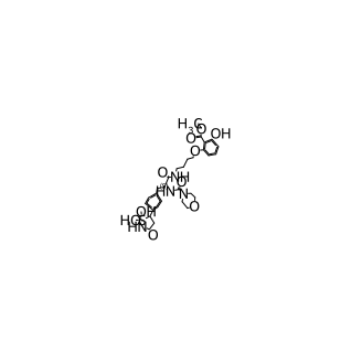 COC(=O)c1c(O)cccc1OCCCCNC(=O)[C@H](Cc1ccc(C2CC(=O)NS2(O)O)cc1)NC(=O)N1CCOCC1